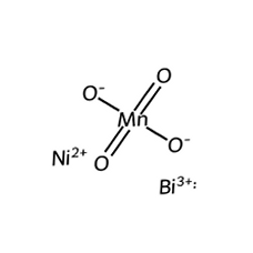 [Bi+3].[Ni+2].[O]=[Mn](=[O])([O-])[O-]